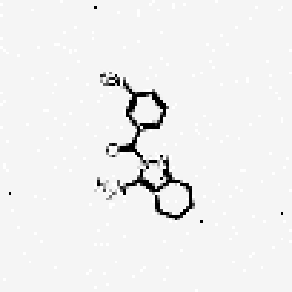 CC(C)(C)c1cccc(C(=O)n2nc3c(c2N)CCCC3)c1